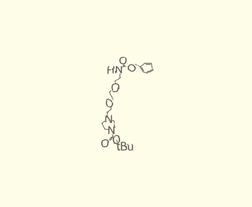 CC(C)(C)OC(=O)N1CCN(CCOCCOCCNC(=O)OCc2ccccc2)CC1